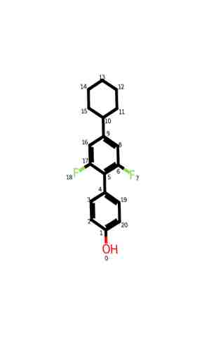 Oc1ccc(-c2c(F)cc(C3CCCCC3)cc2F)cc1